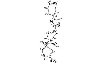 O=S(=O)(c1cccc(C(F)(F)F)c1)C1CCN(c2nc(-c3ccccc3)cs2)CC1